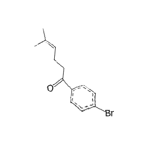 CC(C)=CCCC(=O)c1ccc(Br)cc1